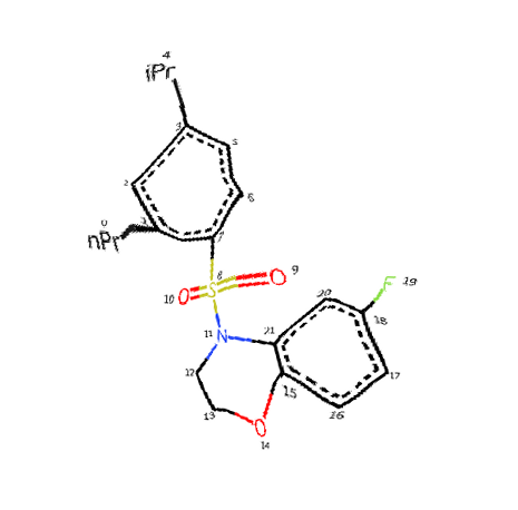 CCCc1cc(C(C)C)ccc1S(=O)(=O)N1CCOc2ccc(F)cc21